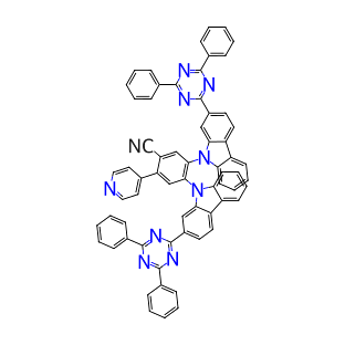 N#Cc1cc(-n2c3ccccc3c3ccc(-c4nc(-c5ccccc5)nc(-c5ccccc5)n4)cc32)c(-n2c3ccccc3c3ccc(-c4nc(-c5ccccc5)nc(-c5ccccc5)n4)cc32)cc1-c1ccncc1